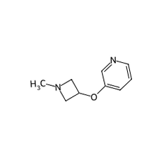 CN1CC(Oc2cccnc2)C1